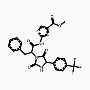 COC(=O)c1csc(NC(=O)C(Cc2ccccc2)N2C(=O)NC(c3ccc(C(F)(F)F)cc3)C2=O)n1